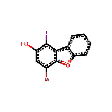 Oc1cc(Br)c2oc3ccccc3c2c1I